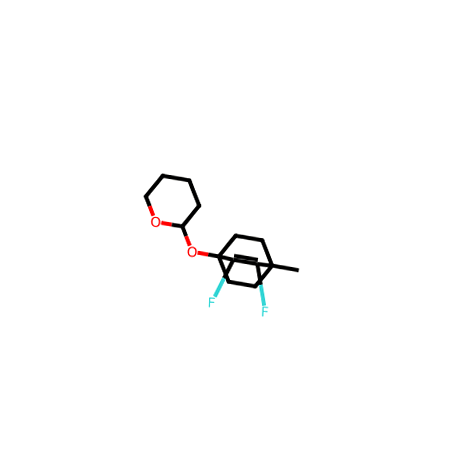 CC12CCC(OC3CCCCO3)(CC1)C(F)=C2F